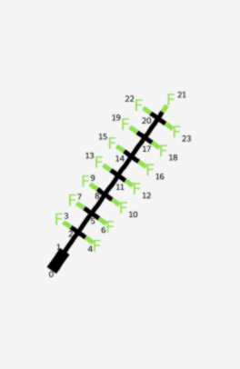 C#CC(F)(F)C(F)(F)C(F)(F)C(F)(F)C(F)(F)C(F)(F)C(F)(F)F